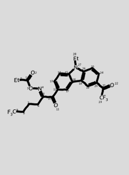 CCC(=O)ON=C(CCCC(F)(F)F)C(=O)c1ccc2c(c1)c1cc(C(=O)C(F)(F)F)ccc1n2CC